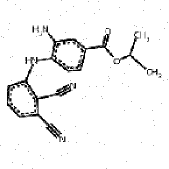 CC(C)OC(=O)c1ccc(Nc2cccc(C#N)c2C#N)c(N)c1